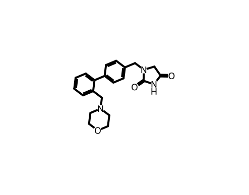 O=C1CN(Cc2ccc(-c3ccccc3CN3CCOCC3)cc2)C(=O)N1